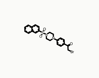 O=C(CBr)c1ccc(N2CCN(S(=O)(=O)c3ccc4ccccc4c3)CC2)cc1